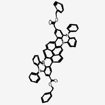 O=C(OCc1ccccc1)c1cc2c3c(c1)N(c1ccccc1)c1ccccc1B3c1cc3ccc4c5c(cc6ccc-2c1c6c35)B1c2ccccc2N(c2ccccc2)c2cc(C(=O)OCc3ccccc3)cc-4c21